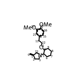 C=C1CCN(C2CCCCC2OCCc2ccc(OC)c(OC)c2)C1